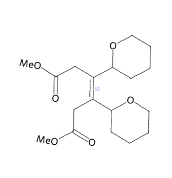 COC(=O)C/C(=C(\CC(=O)OC)C1CCCCO1)C1CCCCO1